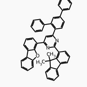 CC1(C)c2ccccc2-c2cccc(-c3nc(-c4ccc(-c5ccccc5)cc4-c4ccccc4)cc(-c4cccc5c4oc4ccccc45)n3)c21